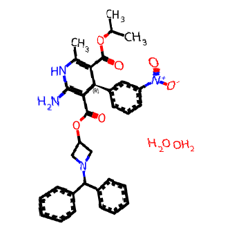 CC1=C(C(=O)OC(C)C)[C@@H](c2cccc([N+](=O)[O-])c2)C(C(=O)OC2CN(C(c3ccccc3)c3ccccc3)C2)=C(N)N1.O.O